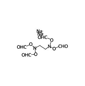 O=CON(CCN(OC=O)OC=O)OC=O.[Na].[Na]